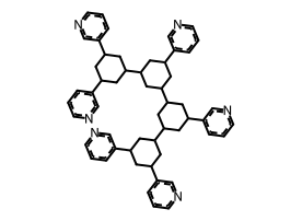 c1cncc(C2CC(c3cccnc3)CC(C3CC(c4cccnc4)CC(C4CC(c5cccnc5)CC(C5CC(c6cccnc6)CC(c6cccnc6)C5)C4)C3)C2)c1